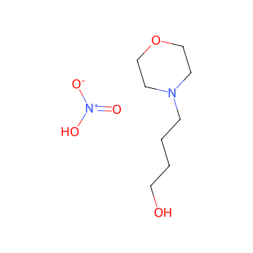 O=[N+]([O-])O.OCCCCN1CCOCC1